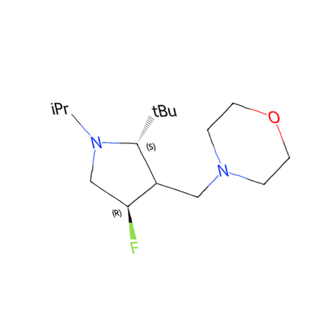 CC(C)N1C[C@H](F)C(CN2CCOCC2)[C@H]1C(C)(C)C